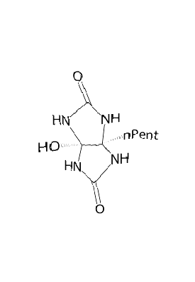 CCCCC[C@]12NC(=O)N[C@@]1(O)NC(=O)N2